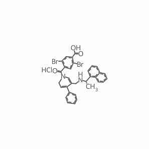 C[C@@H](NCC1=CN(C(=O)c2cc(Br)c(C(=O)O)cc2Br)CC=C1c1ccccc1)c1cccc2ccccc12.Cl